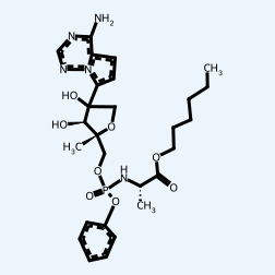 CCCCCCOC(=O)[C@H](C)NP(=O)(OC[C@@]1(C)OCC(O)(c2ccc3c(N)ncnn23)[C@@H]1O)Oc1ccccc1